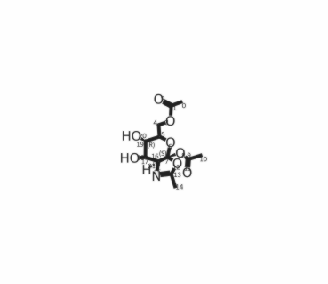 CC(=O)OCC1O[C@]2(OC(C)=O)OC(C)=N[C@H]2C(O)[C@H]1O